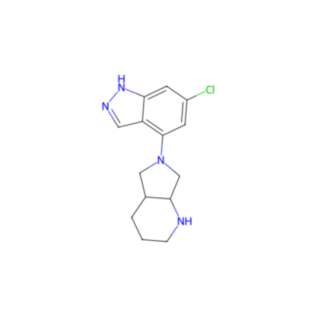 Clc1cc(N2CC3CCCNC3C2)c2cn[nH]c2c1